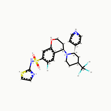 O=S(=O)(Nc1nccs1)c1cc2c(cc1F)[C@H](N1CCC(C(F)(F)F)C[C@H]1c1ccncc1)CCO2